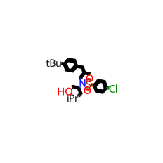 CC(C)CC(CO)N(CC(C)Cc1ccc(C(C)(C)C)cc1)S(=O)(=O)c1ccc(Cl)cc1